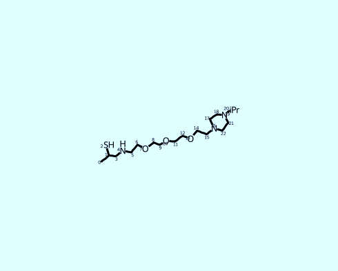 CC(S)CNCCOCCOCCOCCN1CCN(C(C)C)CC1